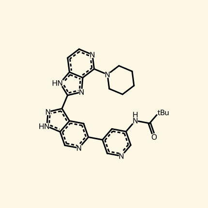 CC(C)(C)C(=O)Nc1cncc(-c2cc3c(-c4nc5c(N6CCCCC6)nccc5[nH]4)n[nH]c3cn2)c1